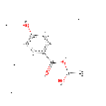 CCC(O)OC(=O)c1ccc(O)cc1